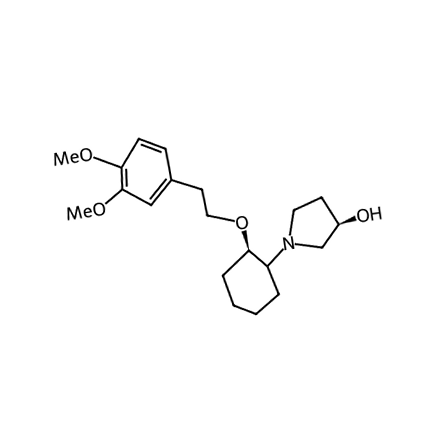 COc1ccc(CCO[C@@H]2CCCCC2N2CC[C@@H](O)C2)cc1OC